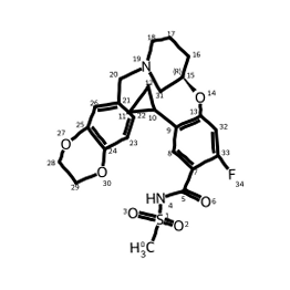 CS(=O)(=O)NC(=O)c1cc(C2CC2)c(O[C@@H]2CCCN(Cc3ccc4c(c3)OCCO4)C2)cc1F